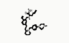 C=CCCC(C(=O)NC)N(C)Cc1cc(CCC2CCCCN2Cc2ccc(N3CCN(C)CC3)cc2)ccc1C=C